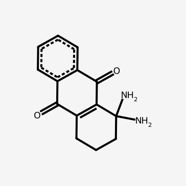 NC1(N)CCCC2=C1C(=O)c1ccccc1C2=O